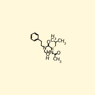 CC(=O)N[C@@H](CC(C)C)C(=O)N(CO)CCc1ccccc1